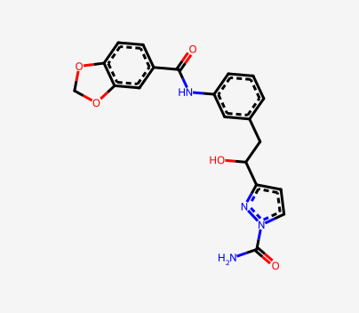 NC(=O)n1ccc(C(O)Cc2cccc(NC(=O)c3ccc4c(c3)OCO4)c2)n1